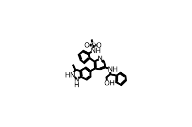 CC1NNc2ccc(-c3cc(NC(CO)c4ccccc4)cnc3-c3ccccc3NS(C)(=O)=O)cc21